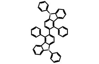 c1ccc(-c2c(-c3ccc4c(c3-c3ccccc3)c3ccccc3n4-c3ccccc3)ccc3c2c2ccccc2n3-c2ccccc2)cc1